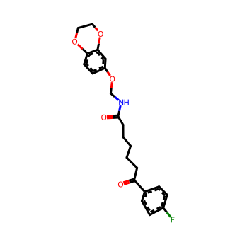 O=C(CCCCCC(=O)c1ccc(F)cc1)NCOc1ccc2c(c1)OCCO2